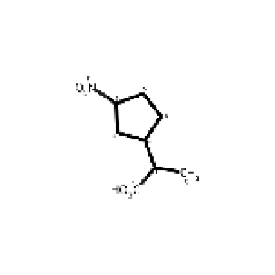 CC(C(=O)O)C1CCC([N+](=O)[O-])C1